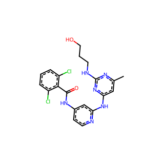 Cc1cc(Nc2cc(NC(=O)c3c(Cl)cccc3Cl)ccn2)nc(NCCCO)n1